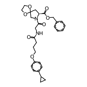 O=C(CCCOc1ccc(C2CC2)cc1)NCC(=O)N1CC2(C[C@H]1C(=O)OCc1ccccc1)OCCO2